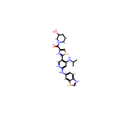 CC(C)Nc1cc(Nc2ccc3ncsc3c2)ncc1-c1nc(C(=O)N2CCCC(O)C2)cs1